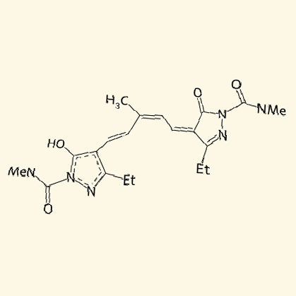 CCC1=NN(C(=O)NC)C(=O)C1=CC=C(C)C=Cc1c(CC)nn(C(=O)NC)c1O